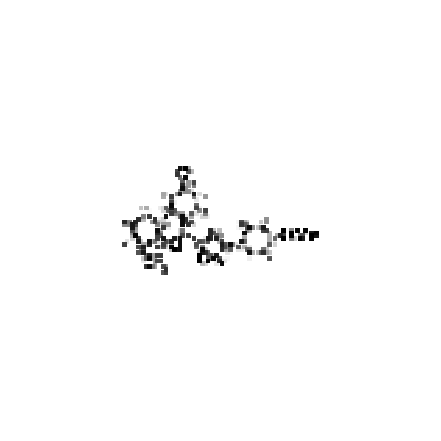 COc1ccc(-c2noc(Cn3ccc(=O)cc3-c3cccc(C(F)(F)F)c3Cl)n2)cc1